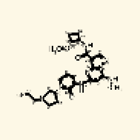 CNc1cc(Nc2cccn([C@@H]3CCN(CCF)C3)c2=O)nc2c(C(=O)N[C@@H]3CC[C@H]3OC)cnn12